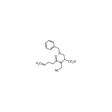 C=CCCC(=O)N(CC#N)C(COCc1ccccc1)C(=O)O